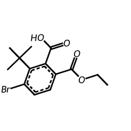 CCOC(=O)c1ccc(Br)c(C(C)(C)C)c1C(=O)O